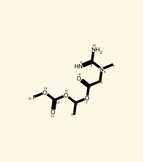 CC(OC(=O)CN(C)C(=N)N)OC(=O)OI